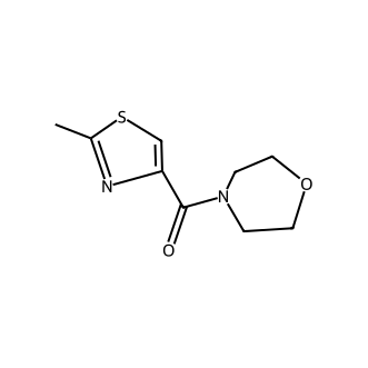 Cc1nc(C(=O)N2CCOCC2)cs1